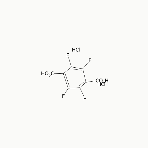 Cl.Cl.O=C(O)c1c(F)c(F)c(C(=O)O)c(F)c1F